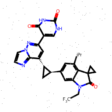 CC(C)c1cc([C@H]2C[C@@H]2c2cc(-c3c[nH]c(=O)[nH]c3=O)nn3ccnc23)cc2c1C1(CC1)C(=O)N2CC(F)(F)F